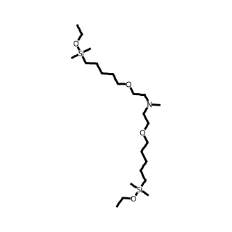 CCO[Si](C)(C)CCCCCOCCN(C)CCOCCCCC[Si](C)(C)OCC